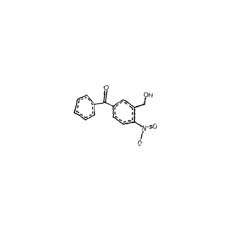 O=C(c1ccccc1)c1ccc([N+](=O)[O-])c(CO)c1